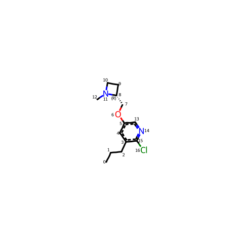 CCCc1cc(OC[C@H]2CCN2C)cnc1Cl